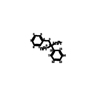 CCCC(CCC)(Cc1ccccc1)c1ccccc1